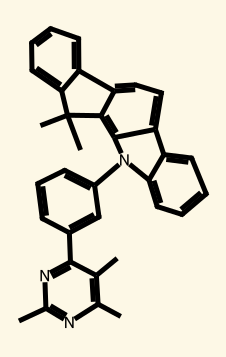 Cc1nc(C)c(C)c(-c2cccc(-n3c4ccccc4c4ccc5c(c43)C(C)(C)c3ccccc3-5)c2)n1